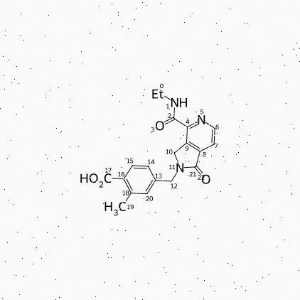 CCNC(=O)c1nccc2c1CN(Cc1ccc(C(=O)O)c(C)c1)C2=O